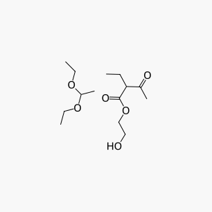 CCC(C(C)=O)C(=O)OCCO.CCOC(C)OCC